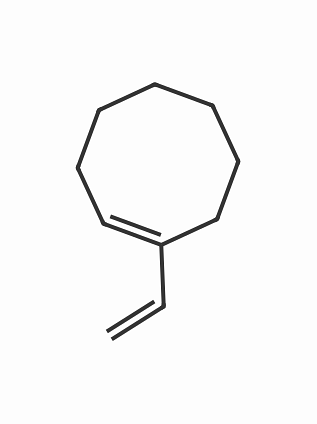 C=C/C1=C/CCCCCC1